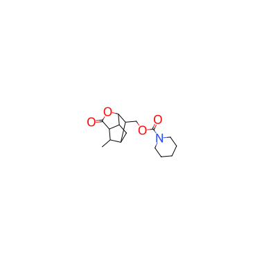 CC1C2CC3C(OC(=O)C13)C2COC(=O)N1CCCCC1